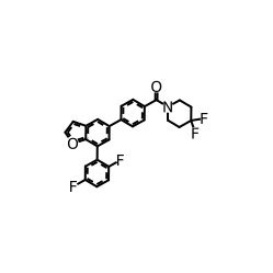 O=C(c1ccc(-c2cc(-c3cc(F)ccc3F)c3occc3c2)cc1)N1CCC(F)(F)CC1